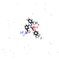 Cc1ccccc1CN(Cc1cccc(C(N)=O)c1)CC(O)COc1ccc(C(F)(F)F)cc1